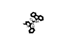 Cc1ccc(NC(=O)NC2c3ccccc3-c3ccccc32)c(-c2ccccc2)n1